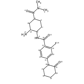 CN(C)C(=O)C1CCC(NC(=O)c2ccc(N3CCCCC3=O)cc2F)C(N)C1